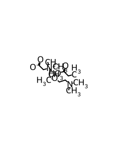 CCC(=O)O.COCCN(C)C.C[N+](C)(C)CC(=O)[O-]